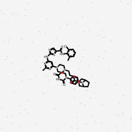 Cc1nc(Nc2ncc(C(=O)Nc3c(C)cccc3Cl)s2)cc(N2CCN(CCCC(=O)N3CC4CCC(C3)N4c3ccc(N4CCC(=O)NC4=O)cc3)CC2)n1